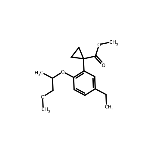 CCc1ccc(OC(C)COC)c(C2(C(=O)OC)CC2)c1